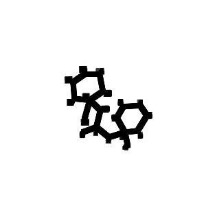 CC(CC1(C)CCCCC1)CC1(C)CCCCC1